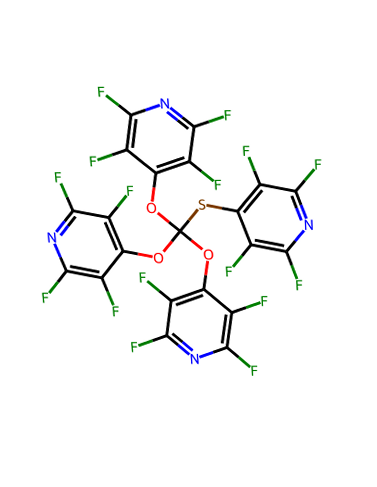 Fc1nc(F)c(F)c(OC(Oc2c(F)c(F)nc(F)c2F)(Oc2c(F)c(F)nc(F)c2F)Sc2c(F)c(F)nc(F)c2F)c1F